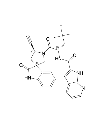 C#C[C@@H]1C[C@@]2(CN1C(=O)[C@H](CC(C)(C)F)NC(=O)c1cc3cccnc3[nH]1)C(=O)Nc1ccccc12